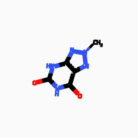 Cn1nc2[nH]c(=O)[nH]c(=O)c2n1